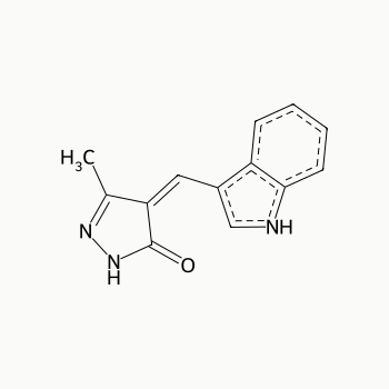 CC1=NNC(=O)/C1=C\c1c[nH]c2ccccc12